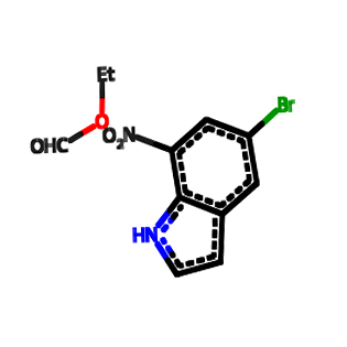 CCOC=O.O=[N+]([O-])c1cc(Br)cc2cc[nH]c12